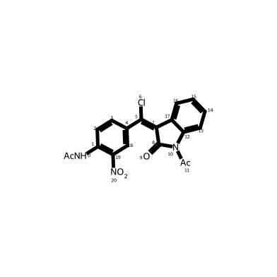 CC(=O)Nc1ccc(C(Cl)=C2C(=O)N(C(C)=O)c3ccccc32)cc1[N+](=O)[O-]